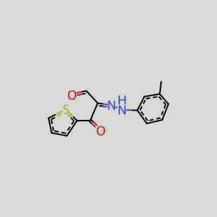 Cc1cccc(N/N=C(/C=O)C(=O)c2cccs2)c1